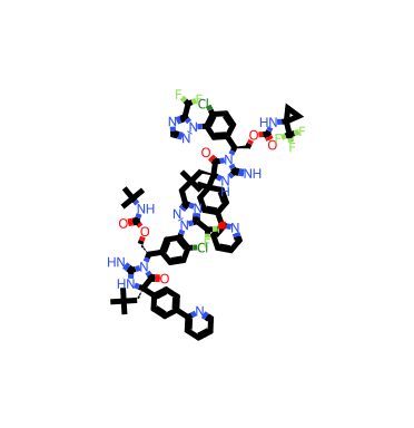 CC(C)(C)C[C@]1(c2ccc(-c3ccccn3)cc2)NC(=N)N([C@H](COC(=O)NC(C)(C)C)c2ccc(Cl)c(-n3nc(CC(C)(C)C[C@]4(C5(C)C=CC(c6ccccn6)=CC5)NC(=N)N([C@H](COC(=O)NC5(C(F)(F)F)CC5)c5ccc(Cl)c(-n6ncnc6C(F)F)c5)C4=O)nc3C(F)F)c2)C1=O